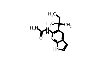 CCC(C)(C)c1cc2cc[nH]c2nc1NC(N)=O